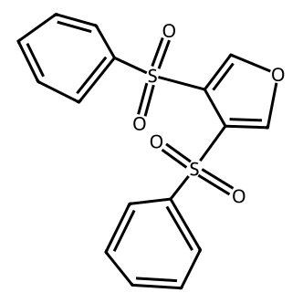 O=S(=O)(c1ccccc1)c1cocc1S(=O)(=O)c1ccccc1